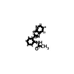 CC(=O)Nc1ccccc1-c1nc2cccnc2s1